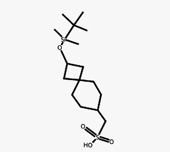 CC(C)(C)[Si](C)(C)OC1CC2(CCC(CS(=O)(=O)O)CC2)C1